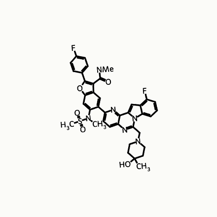 CNC(=O)c1c(-c2ccc(F)cc2)oc2cc(N(C)S(C)(=O)=O)c(-c3ccc4nc(CN5CCC(C)(O)CC5)n5c6cccc(F)c6cc5c4n3)cc12